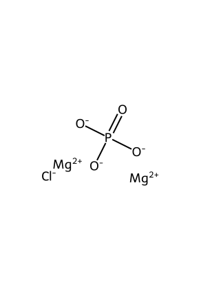 O=P([O-])([O-])[O-].[Cl-].[Mg+2].[Mg+2]